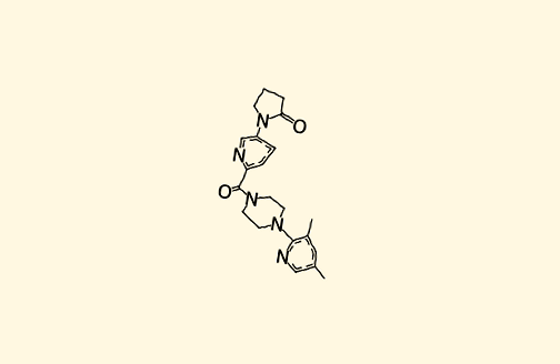 Cc1cnc(N2CCN(C(=O)c3ccc(N4CCCC4=O)cn3)CC2)c(C)c1